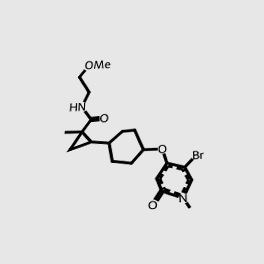 COCCNC(=O)C1(C)CC1C1CCC(Oc2cc(=O)n(C)cc2Br)CC1